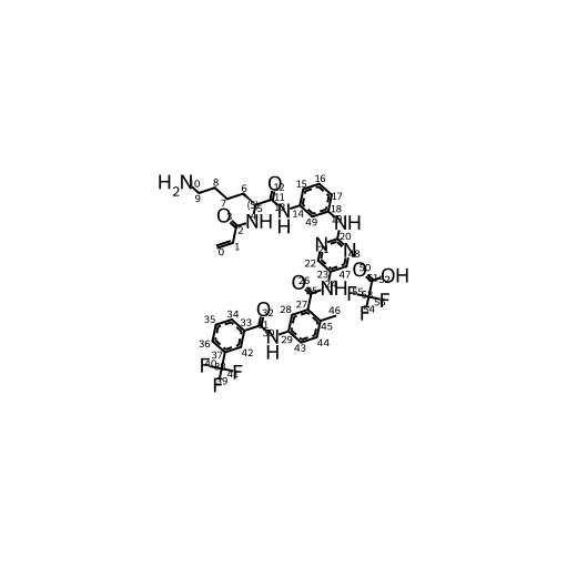 C=CC(=O)N[C@@H](CCCCN)C(=O)Nc1cccc(Nc2ncc(NC(=O)c3cc(NC(=O)c4cccc(C(F)(F)F)c4)ccc3C)cn2)c1.O=C(O)C(F)(F)F